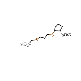 CCCCCCCC[C@H]1CCC[C@@H]1SCCCSCC(=O)O